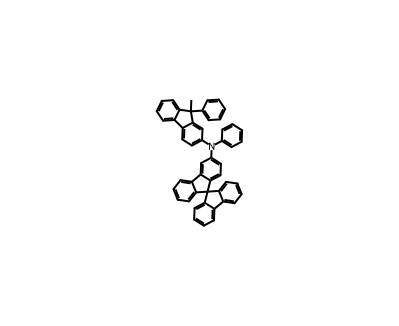 CC1(c2ccccc2)c2ccccc2-c2ccc(N(c3ccccc3)c3ccc4c(c3)-c3ccccc3C43c4ccccc4-c4ccccc43)cc21